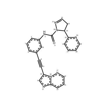 O=C(Nc1cccc(C#Cc2cnc3cccnn23)c1)N1N=CCC1c1ccccn1